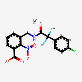 O=C([O-])c1cccc(CNC(=O)C(F)(F)c2ccc(Cl)cc2)c1[N+](=O)[O-].[Li+]